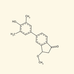 COC1CC(=O)c2ccc(-c3cc(C)c(O)c(C)c3)cc21